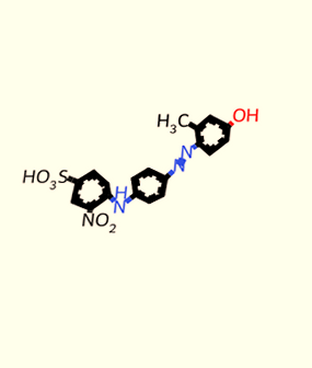 Cc1cc(O)ccc1N=Nc1ccc(Nc2ccc(S(=O)(=O)O)cc2[N+](=O)[O-])cc1